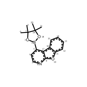 CC1(C)OB(c2ccnc3oc4ccccc4c23)OC1(C)C